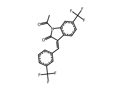 CC(=O)N1C(=O)C(=Cc2cccc(C(F)(F)F)c2)c2ccc(C(F)(F)F)cc21